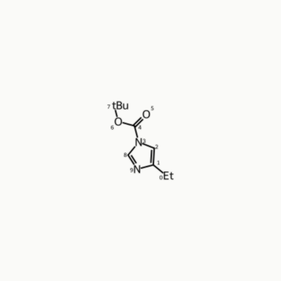 CCc1cn(C(=O)OC(C)(C)C)cn1